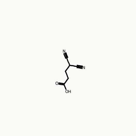 N#CC(C#N)CCC(=O)O